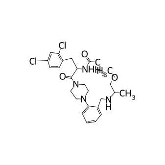 COCC(C)NCc1ccccc1N1CCN(C(=O)C(Cc2ccc(Cl)cc2Cl)NC(C)=O)CC1